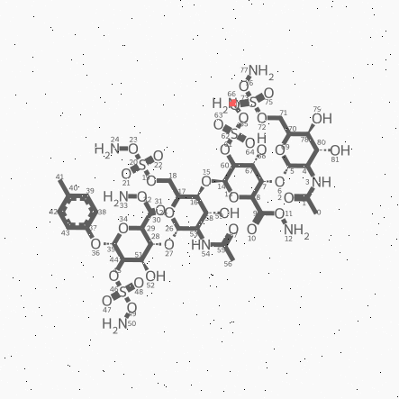 CC(=O)NC1[C@H](O[C@@H]2C(C(=O)ON)O[C@@H](O[C@@H]3C(COS(=O)(=O)ON)O[C@@H](O[C@H]4C(C(=O)ON)O[C@@H](Oc5ccc(C)cc5)C(OS(=O)(=O)ON)[C@@H]4O)C(NC(C)=O)[C@H]3O)C(OS(=O)(=O)ON)[C@@H]2O)OC(COS(=O)(=O)ON)[C@@H](O)[C@@H]1O